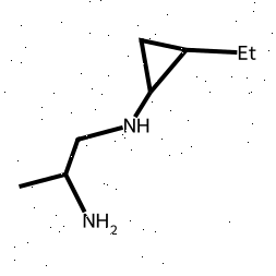 CCC1CC1NCC(C)N